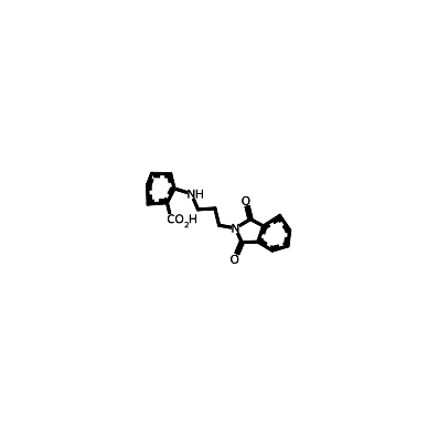 O=C(O)c1ccccc1NCCCN1C(=O)c2ccccc2C1=O